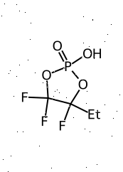 CCC1(F)OP(=O)(O)OC1(F)F